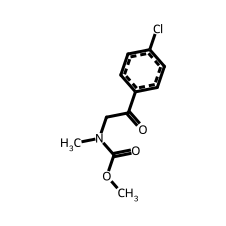 COC(=O)N(C)CC(=O)c1ccc(Cl)cc1